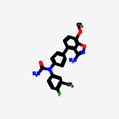 NC(=O)N(c1ccc(-c2ccc(OC(F)(F)F)c3onc(N)c23)cc1)c1ccc(F)c(C(F)(F)F)c1